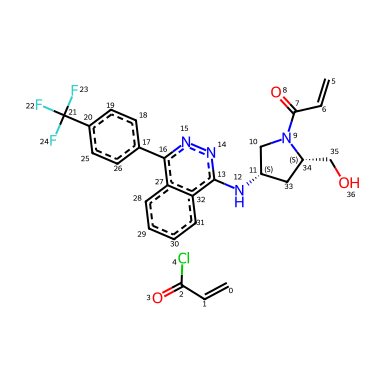 C=CC(=O)Cl.C=CC(=O)N1C[C@@H](Nc2nnc(-c3ccc(C(F)(F)F)cc3)c3ccccc23)C[C@H]1CO